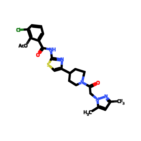 CC(=O)Oc1c(Cl)cccc1C(=O)Nc1nc(C2CCN(C(=O)Cn3nc(C(F)(F)F)cc3C)CC2)cs1